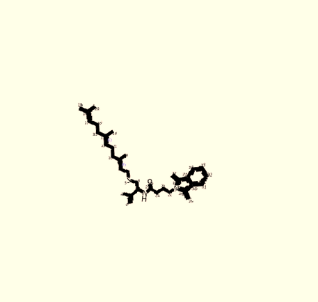 C=C(C)C(CSC/C=C(\C)CC/C=C(\C)CCC=C(C)C)NC(=O)CCCn1c(=C)c2ccccc2c1=C